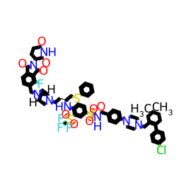 CC1(C)CCC(c2ccc(Cl)cc2)=C(CN2CCN(c3ccc(C(=O)NS(=O)(=O)c4ccc(N[C@H](CCN5C[C@H]6C[C@@H]5CN6Cc5ccc6c(c5F)C(=O)N(C5CCC(=O)NC5=O)C6=O)CSc5ccccc5)c(S(=O)(=O)C(F)(F)F)c4)cc3)CC2)C1